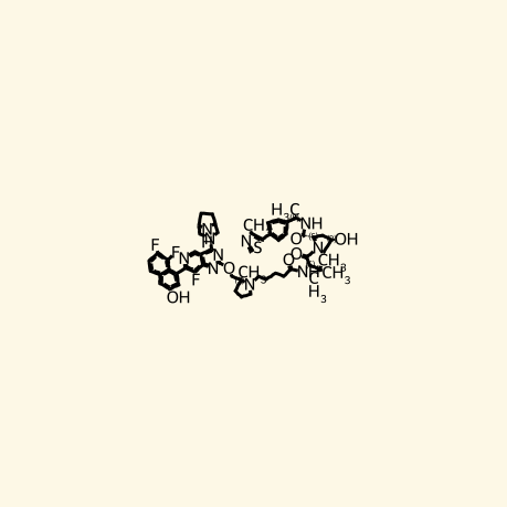 Cc1ncsc1-c1ccc([C@H](C)NC(=O)[C@@H]2C[C@@H](O)CN2C(=O)[C@@H](NC(=O)CCCCN2CCC[C@@]2(C)COc2nc(N3CC4CCC(C3)N4)c3cnc(-c4cc(O)cc5ccc(F)c(F)c45)c(F)c3n2)C(C)(C)C)cc1